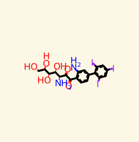 Nc1cc(-c2c(I)cc(I)cc2I)ccc1C(=O)C(=O)[C@H](N)[C@@H](O)[C@H](O)[C@H](O)CO